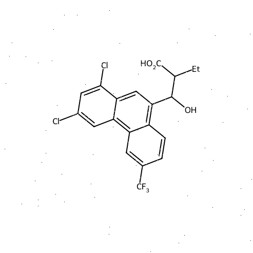 CCC(C(=O)O)C(O)c1cc2c(Cl)cc(Cl)cc2c2cc(C(F)(F)F)ccc12